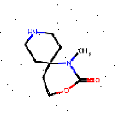 CN1C(=O)OCCC12CCNCC2